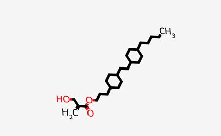 C=C(CO)C(=O)OCCCC1CCC(CCC2CCC(CCCCC)CC2)CC1